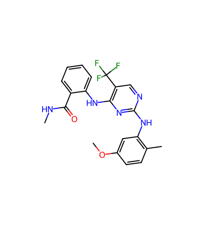 CNC(=O)c1ccccc1Nc1nc(Nc2cc(OC)ccc2C)ncc1C(F)(F)F